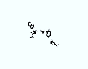 CC(C)c1cc(NC(=O)Nc2ccc(Oc3ccnc(C(=N)N)c3)cc2F)n(-c2ccc3ncccc3c2)n1